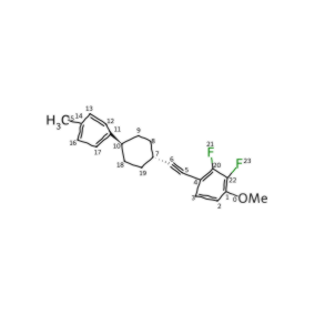 COc1ccc(C#C[C@H]2CC[C@H](c3ccc(C)cc3)CC2)c(F)c1F